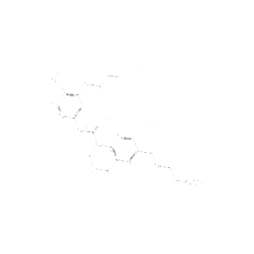 CNCCNCc1cc2c(nc1C=O)N(C(=O)Nc1cc(NCCOS(=O)(=O)O)c(C#N)cn1)CCC2